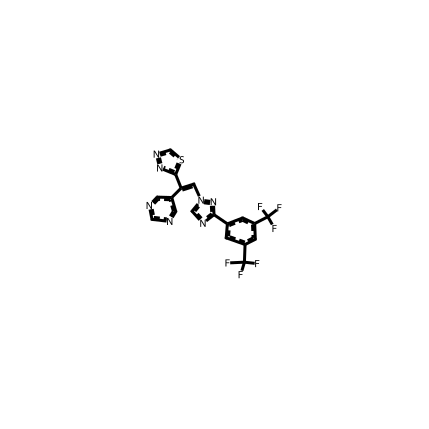 FC(F)(F)c1cc(-c2ncn(/C=C(\c3cncnc3)c3nncs3)n2)cc(C(F)(F)F)c1